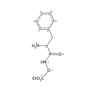 CCOC(=O)ONC(=O)C(N)Cc1ccccc1